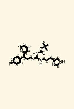 CC(C)(C)OC(=O)NC(=NCCC(c1ccc(F)cc1)c1ccccn1)NCCCc1c[nH]cn1